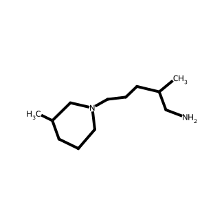 CC(CN)CCCN1CCCC(C)C1